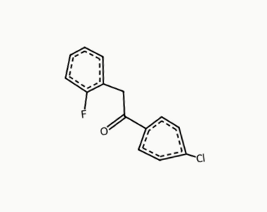 O=C(Cc1ccccc1F)c1ccc(Cl)cc1